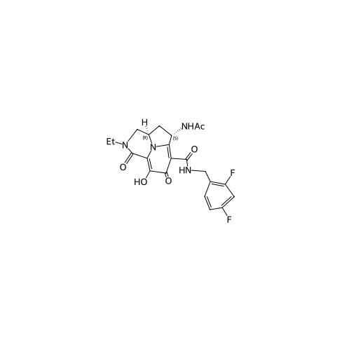 CCN1C[C@H]2C[C@H](NC(C)=O)c3c(C(=O)NCc4ccc(F)cc4F)c(=O)c(O)c(n32)C1=O